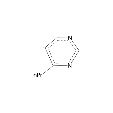 CCCc1[c]cncn1